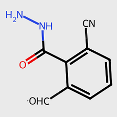 N#Cc1cccc([C]=O)c1C(=O)NN